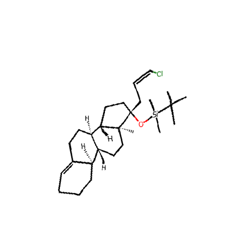 CC(C)(C)[Si](C)(C)O[C@@]1(C/C=C\Cl)CC[C@H]2[C@@H]3CCC4=CCCC[C@@H]4[C@H]3CC[C@@]21C